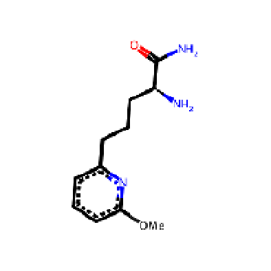 COc1cccc(CCC[C@H](N)C(N)=O)n1